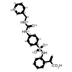 C=C(C(=O)O)c1ccccc1NS(=O)(=O)c1ccc(NC(=O)NCc2cccnc2)cc1